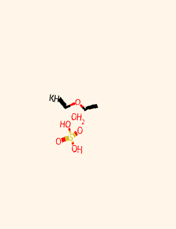 C=COC=C.O.O=S(=O)(O)O.[KH]